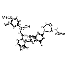 COC[C@@H]1CN(c2cc(C)c3nc(-c4c(NC[C@H](O)c5ccc(OC)c(Br)c5)cc[nH]c4=O)[nH]c3c2)CCO1